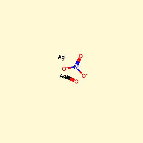 O=[N+]([O-])[O-].[Ag+].[O]=[Ag]